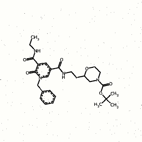 CCNC(=O)c1cc(C(=O)NCCC2CN(C(=O)OC(C)(C)C)CCO2)cn(Cc2ccccc2)c1=O